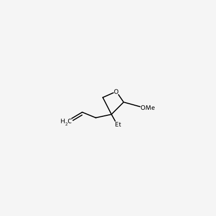 C=CCC1(CC)COC1OC